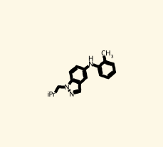 Cc1ccccc1Nc1ccc2c(cnn2CC(C)C)c1